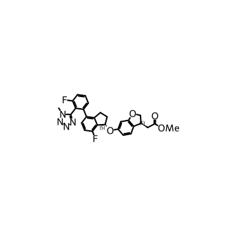 COC(=O)C[C@@H]1COc2cc(O[C@H]3CCc4c(-c5cccc(F)c5-c5nnnn5C)ccc(F)c43)ccc21